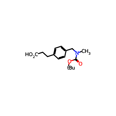 CN(Cc1ccc(CCC(=O)O)cc1)C(=O)OC(C)(C)C